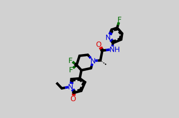 CCn1cc(C2CN([C@@H](C)C(=O)Nc3ccc(F)cn3)CCC2(F)F)ccc1=O